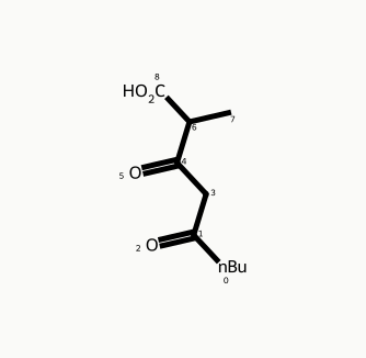 CCCCC(=O)CC(=O)C(C)C(=O)O